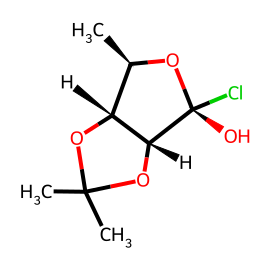 C[C@H]1O[C@](O)(Cl)[C@@H]2OC(C)(C)O[C@@H]21